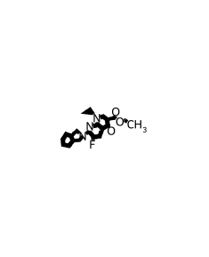 CCOC(=O)c1cn(C2CC2)c2nc(N3Cc4ccccc4C3)c(F)cc2c1=O